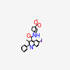 COC(=O)C12CCC(NC(=O)c3c(C)c(-c4ccccc4)nc4ccc(I)cc34)(CC1)C2